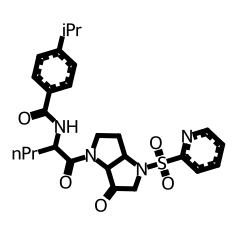 CCCC(NC(=O)c1ccc(C(C)C)cc1)C(=O)N1CCC2C1C(=O)CN2S(=O)(=O)c1ccccn1